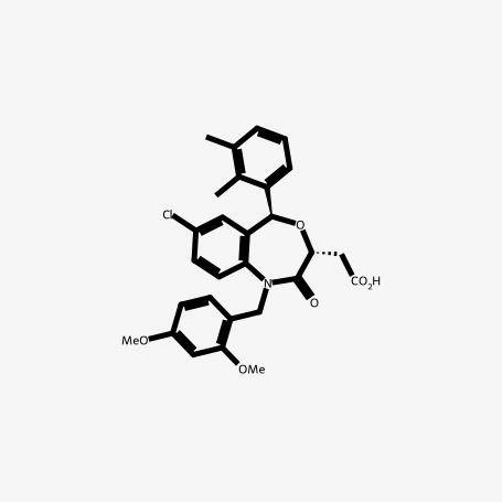 COc1ccc(CN2C(=O)[C@@H](CC(=O)O)O[C@H](c3cccc(C)c3C)c3cc(Cl)ccc32)c(OC)c1